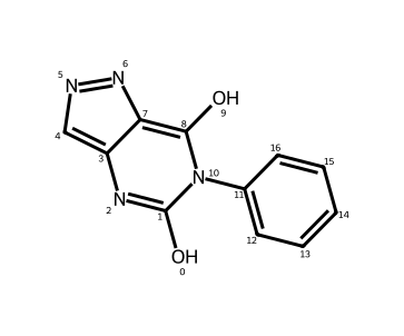 Oc1nc2cnnc-2c(O)n1-c1ccccc1